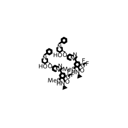 COc1cc(-c2cnc3cc(OC[C@@H]4CN(Cc5ccccc5)CC[C@H]4O)ccn23)cc(OC(F)F)c1C(=O)NC1CC1.COc1cc(-c2cnc3cc(OC[C@H]4CN(Cc5ccccc5)CC[C@@H]4O)ccn23)cc(OC(F)F)c1C(=O)NC1CC1